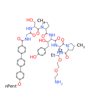 CCCCCOc1ccc(-c2ccc(-c3ccc(C(=O)NCC(=O)NC(C(=O)N4CCCC4C(=O)NC(C(=O)NC(CC)C(=O)N4C[C@H](C)CC4C(=O)NC(CC)OCCOCCN)[C@H](O)Cc4ccc(O)cc4)[C@@H](C)O)cc3)cc2)cc1